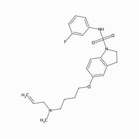 C=CCN(C)CCCCOc1ccc2c(c1)CCN2S(=O)(=O)Nc1cccc(F)c1